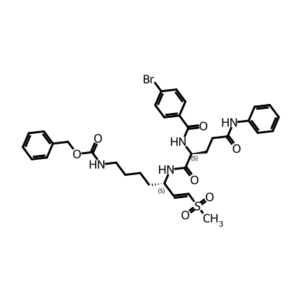 CS(=O)(=O)C=C[C@H](CCCCNC(=O)OCc1ccccc1)NC(=O)[C@H](CCC(=O)Nc1ccccc1)NC(=O)c1ccc(Br)cc1